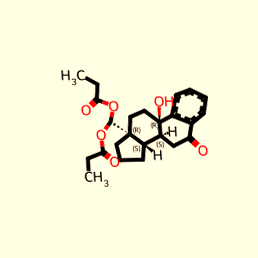 CCC(=O)OC(OC(=O)CC)[C@@]12CCC[C@H]1[C@@H]1CC(=O)c3ccccc3[C@@]1(O)CC2